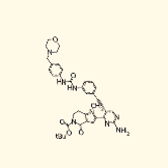 Cn1c(-c2nc(N)ncc2C#Cc2cccc(NC(=O)Nc3ccc(CN4CCOCC4)cc3)c2)cc2c1CCN(C(=O)OC(C)(C)C)C2=O